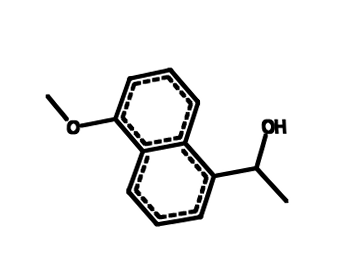 COc1cccc2c(C(C)O)cccc12